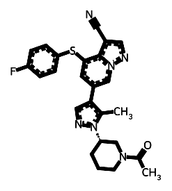 CC(=O)N1CCC[C@H](n2ncc(-c3cc(Sc4ccc(F)cc4)c4c(C#N)cnn4c3)c2C)C1